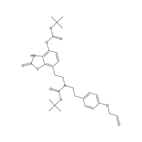 CC(C)(C)OC(=O)Oc1ccc(CCN(CCc2ccc(OCC=O)cc2)C(=O)OC(C)(C)C)c2sc(=O)[nH]c12